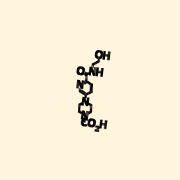 O=C(NCCO)c1ccc(N2CCN(C(=O)O)CC2)cn1